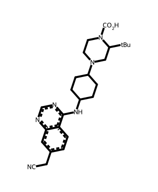 CC(C)(C)C1CN(C2CCC(Nc3ncnc4cc(CC#N)ccc34)CC2)CCN1C(=O)O